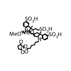 COCCN1/C(=C/C=C/C2=[N+](CCCCCC(=O)ON3C(=O)CCC3=O)c3ccc(S(=O)(=O)O)cc3C2(C)CCOC)C(C)(CCCS(=O)(=O)O)c2cc(S(=O)(=O)O)ccc21